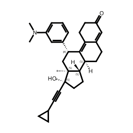 CN(C)c1cccc([C@H]2C[C@@]3(C)[C@@H](CC[C@@]3(O)C#CC3CC3)[C@@H]3CCC4=CC(=O)CCC4=C32)c1